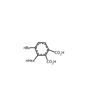 CCCCCCc1c(CCCC)ccc(C(=O)O)c1C(=O)O